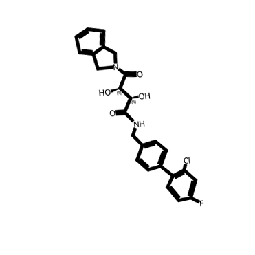 O=C(NCc1ccc(-c2ccc(F)cc2Cl)cc1)[C@H](O)[C@@H](O)C(=O)N1Cc2ccccc2C1